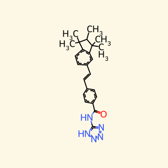 CC1C(C)(C)c2ccc(/C=C/c3ccc(C(=O)Nc4nnn[nH]4)cc3)cc2C1(C)C